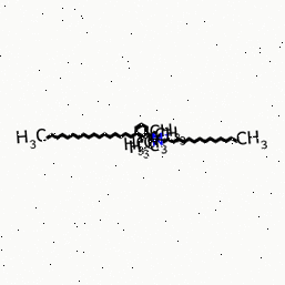 CCCCCCCCCCCCCCCCCCc1cccc(C(C)(C)[N+](C)(C)CCCCCCCCCCCCCCCC)c1C